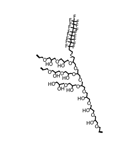 C=CCOCC(O)COCC(O)COCC(O)COCC(COCC(COCC(CSCCC(F)(F)C(F)(F)C(F)(F)C(F)(F)C(F)(F)C(F)(F)C(F)(F)C(F)(F)F)OCC(O)COCC(O)COCC=C)OCC(O)COCC(O)COCC=C)OCC(O)COCC(O)CO